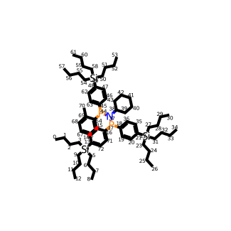 CCCC[Si](CCCC)(CCCC)c1ccc(P(c2ccc([Si](CCCC)(CCCC)CCCC)cc2)N(C2CCCCC2)P(c2ccc([Si](CCCC)(CCCC)CCCC)cc2)c2ccccc2C)cc1